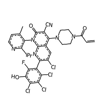 C=CC(=O)N1CCN(c2c(C#N)c(=O)n(-c3c(C)ccnc3C(C)C)c3nc(-c4c(F)c(O)c(Cl)c(Cl)c4Cl)c(Cl)cc23)CC1